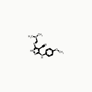 COc1ccc(Nc2n[nH]c(N=CN(C)C)c2C#N)cc1